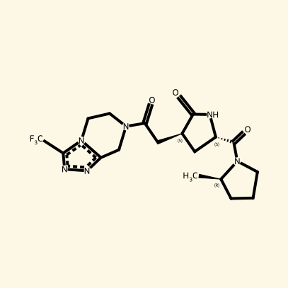 C[C@@H]1CCCN1C(=O)[C@@H]1C[C@@H](CC(=O)N2CCn3c(nnc3C(F)(F)F)C2)C(=O)N1